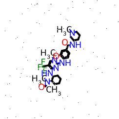 COc1cc(C(=O)N[C@@H]2CCCN(C)C2)ccc1Nc1ncc(C(F)(F)F)c(N[C@@H]2CCCC[C@H]2N(C)C(C)=O)n1